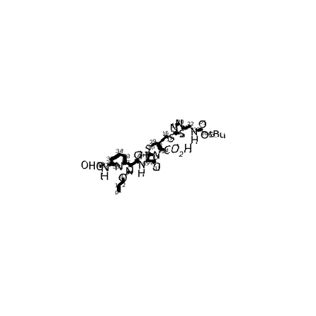 C=CCON=C(C(=O)NC1C(=O)N2C(C(=O)O)=C(CSc3nnc(CNC(=O)OC(C)(C)C)s3)CS[C@@H]12)c1cccc(NC=O)n1